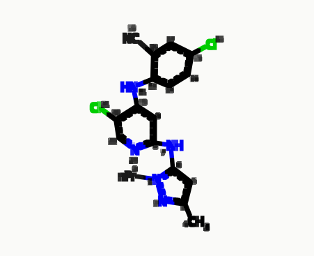 CCCn1nc(C)cc1Nc1cc(Nc2ccc(Cl)cc2C#N)c(Cl)cn1